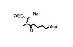 CCCCCCCCCCCCCC(=O)N(C)[C@@H](C)C(=O)[O-].[Na+]